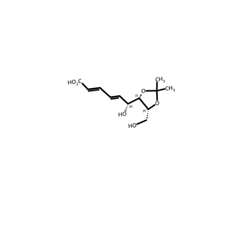 CC1(C)O[C@@H]([C@H](O)C=CC=CC(=O)O)[C@@H](CO)O1